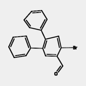 O=Cc1cc(-c2ccccc2)c(-c2ccccc2)cc1Br